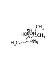 CCCCC(CC)CS(CC(CC)CCCC)=P(O)(O)S.[Mo]